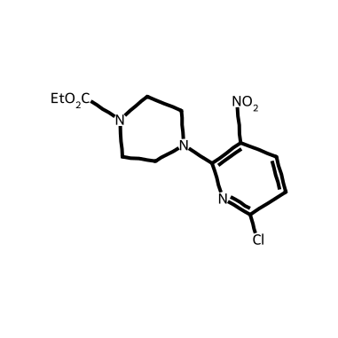 CCOC(=O)N1CCN(c2nc(Cl)ccc2[N+](=O)[O-])CC1